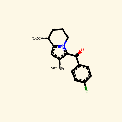 CCCc1cc2n(c1C(=O)c1ccc(F)cc1)CCCC2C(=O)[O-].[Na+]